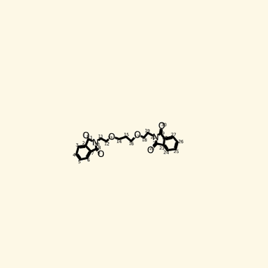 O=C1c2ccccc2C(=O)N1CCOCCCOCCN1C(=O)c2ccccc2C1=O